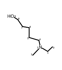 CCN(C)CCCCCO